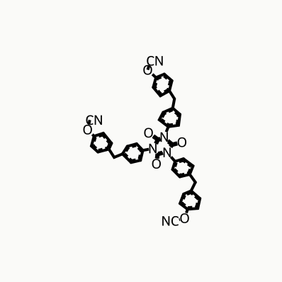 N#COc1ccc(Cc2ccc(-n3c(=O)n(-c4ccc(Cc5ccc(OC#N)cc5)cc4)c(=O)n(-c4ccc(Cc5ccc(OC#N)cc5)cc4)c3=O)cc2)cc1